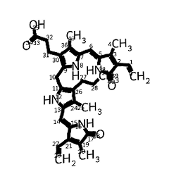 C=CC1=C(C)/C(=C/c2[nH]c(Cc3[nH]c(/C=C4\NC(=O)C(C)=C4C=C)c(C)c3CCC)c(CCC(=O)O)c2C)NC1=O